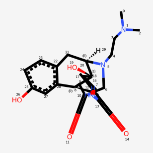 CN(C)CCN1CC[C@]23CC(=O)NC(=O)NCC[C@@]2(O)[C@H]1Cc1ccc(O)cc13